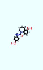 O=C(Nc1ccc(O)cc1)N1CCCCc2c(O)cccc21